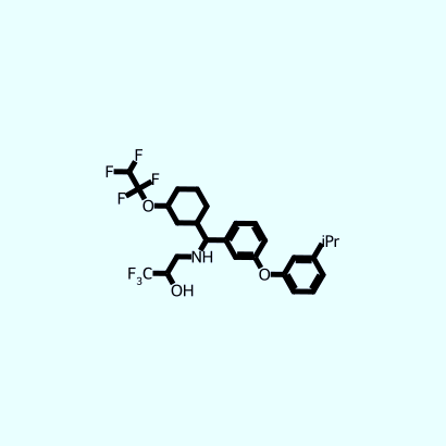 CC(C)c1cccc(Oc2cccc(C(NCC(O)C(F)(F)F)C3CCCC(OC(F)(F)C(F)F)C3)c2)c1